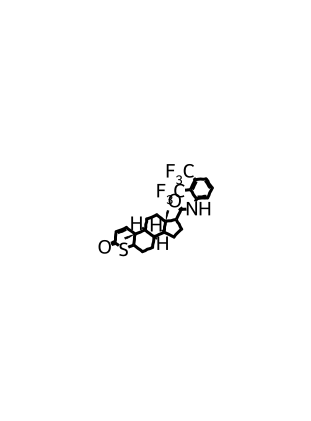 C[C@]12C=CC(=O)SC1CC[C@@H]1[C@H]2CC[C@]2(C)C(C(=O)Nc3cccc(C(F)(F)F)c3C(F)(F)F)CC[C@@H]12